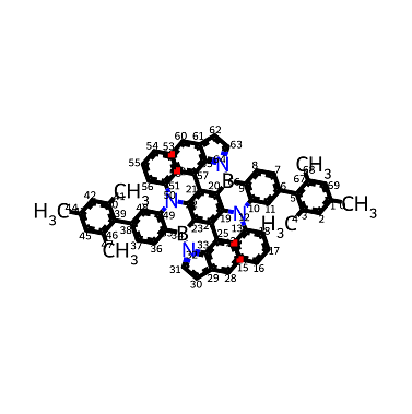 Cc1cc(C)c(-c2ccc3c(c2)N(c2ccccc2)c2c4c(c5c6c2-c2cccc7ccn(c27)B6c2ccc(-c6c(C)cc(C)cc6C)cc2N5c2ccccc2)-c2cccc5ccn(c25)B34)c(C)c1